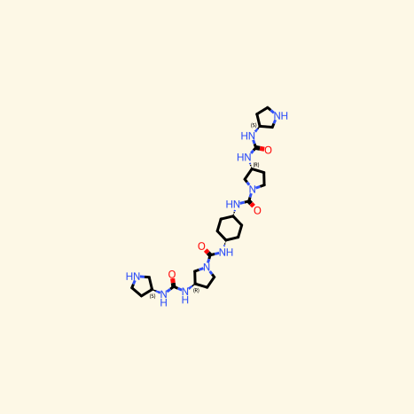 O=C(N[C@@H]1CCN(C(=O)N[C@H]2CC[C@@H](NC(=O)N3CC[C@@H](NC(=O)N[C@H]4CCNC4)C3)CC2)C1)N[C@H]1CCNC1